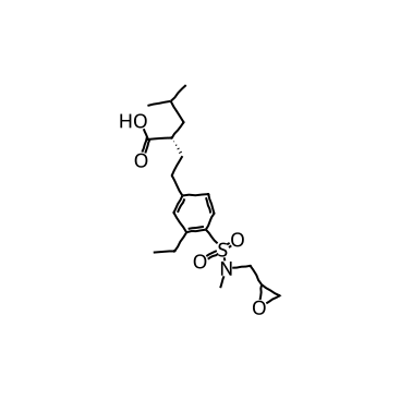 CCc1cc(CC[C@@H](CC(C)C)C(=O)O)ccc1S(=O)(=O)N(C)CC1CO1